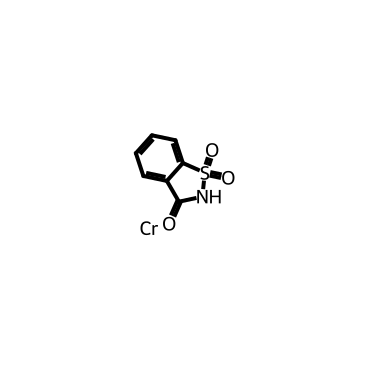 O=C1NS(=O)(=O)c2ccccc21.[Cr]